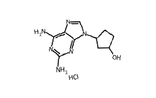 Cl.Nc1nc(N)c2ncn(C3CCC(O)C3)c2n1